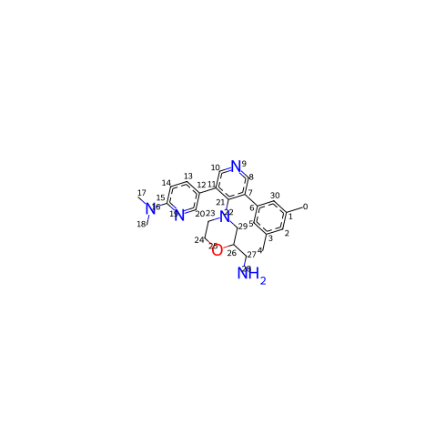 Cc1cc(C)cc(-c2cncc(-c3ccc(N(C)C)nc3)c2N2CCOC(CN)C2)c1